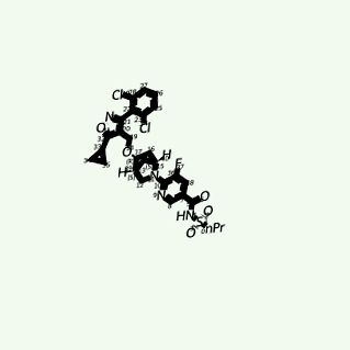 CCCS(=O)(=O)NC(=O)c1cnc(N2C[C@@H]3C[C@H]2C[C@H]3OCc2c(-c3c(Cl)cccc3Cl)noc2C2CC2)c(F)c1